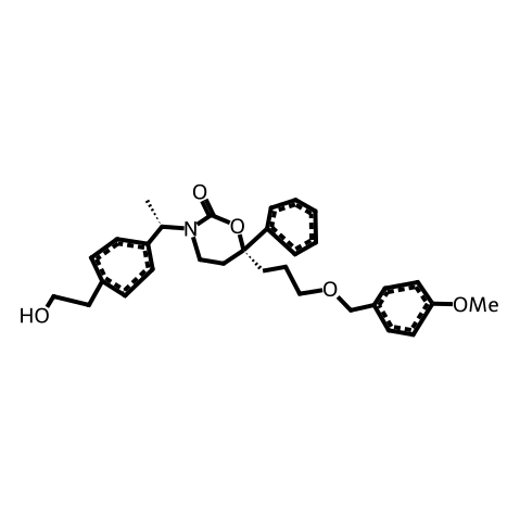 COc1ccc(COCCC[C@]2(c3ccccc3)CCN([C@@H](C)c3ccc(CCO)cc3)C(=O)O2)cc1